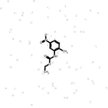 CCOC(=O)Nc1cc([N+](=O)[O-])ccc1C